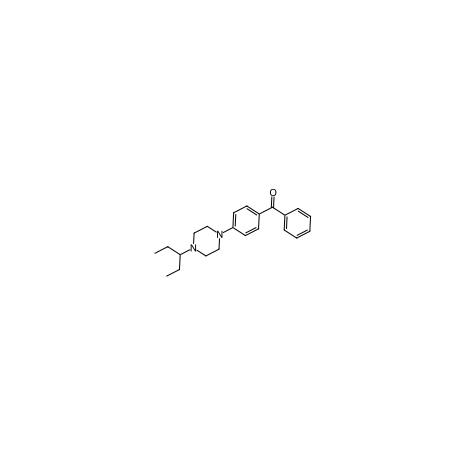 CCC(CC)N1CCN(c2ccc(C(=O)c3ccccc3)cc2)CC1